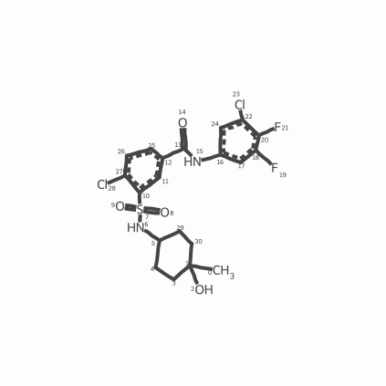 CC1(O)CCC(NS(=O)(=O)c2cc(C(=O)Nc3cc(F)c(F)c(Cl)c3)ccc2Cl)CC1